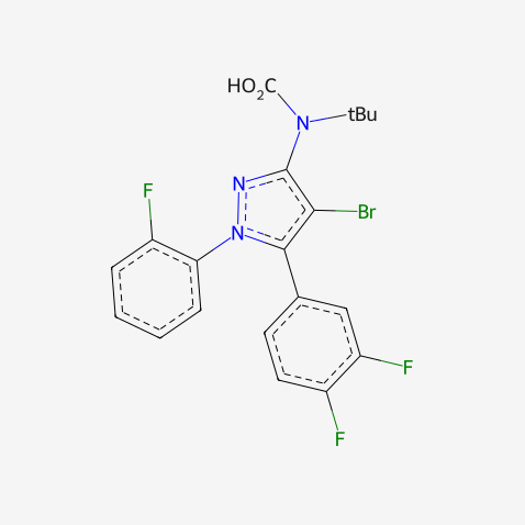 CC(C)(C)N(C(=O)O)c1nn(-c2ccccc2F)c(-c2ccc(F)c(F)c2)c1Br